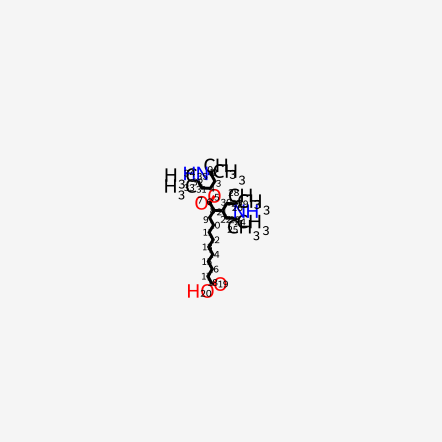 CC1(C)CC(OC(=O)C(CCCCCCCCCC(=O)O)C2CC(C)(C)NC(C)(C)C2)CC(C)(C)N1